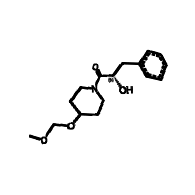 COCOC1CCN(C(=O)[C@@H](O)Cc2ccccc2)CC1